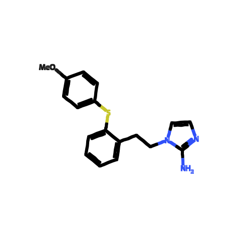 COc1ccc(Sc2ccccc2CCn2ccnc2N)cc1